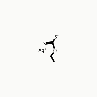 CCOC(=S)[S-].[Ag+]